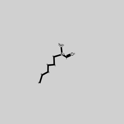 [3H]N([C]=O)CCCCCC